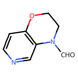 O=CN1CCOc2ccncc21